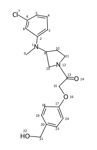 CN(c1cccc(Cl)c1)C1CCN(C(=O)COc2ccc(CO)cc2)C1